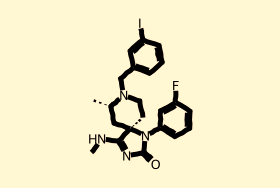 CNC1=NC(=O)N(c2cccc(F)c2)[C@@]12CCN(Cc1cccc(I)c1)[C@@H](C)C2